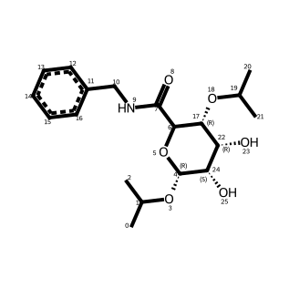 CC(C)O[C@@H]1OC(C(=O)NCc2ccccc2)[C@H](OC(C)C)[C@H](O)[C@@H]1O